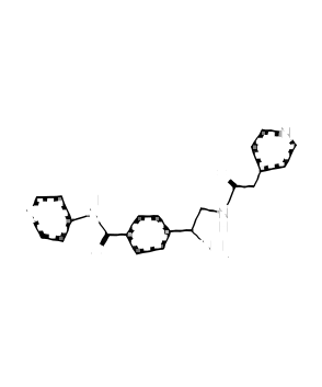 NC(CNC(=O)Cc1ccncc1)c1ccc(C(=O)Nc2ccncc2)cc1